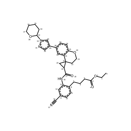 CCOC(=O)CCCc1ccc(C#N)cc1NC(=O)C1CC12CCOc1ccc(-c3cnn(C4CCCCO4)c3)cc12